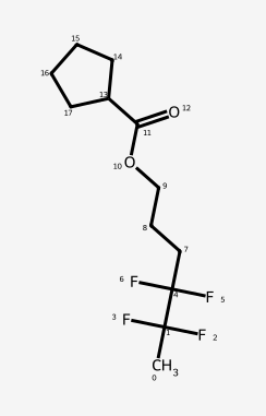 CC(F)(F)C(F)(F)CCCOC(=O)C1CCCC1